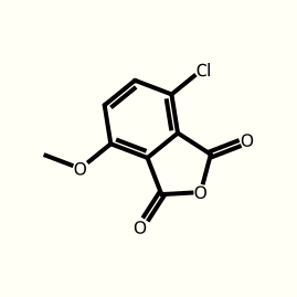 COc1ccc(Cl)c2c1C(=O)OC2=O